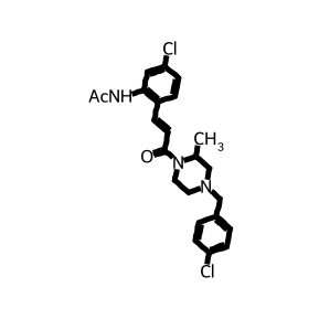 CC(=O)Nc1cc(Cl)ccc1C=CC(=O)N1CCN(Cc2ccc(Cl)cc2)CC1C